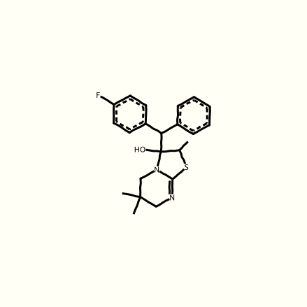 CC1SC2=NCC(C)(C)CN2C1(O)C(c1ccccc1)c1ccc(F)cc1